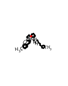 [H]/N=c1\n(CCC=Cc2ccc(C)cc2)c2ccccc2n1C(Cc1ccc(C)cc1)C(=O)N1CCC1